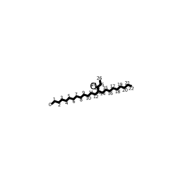 CCCCCCCCCCCCCC(CCCCCCCCC)C(=O)CC